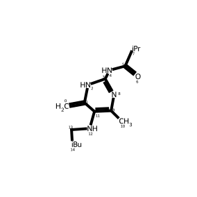 C=C1NC(NC(=O)C(C)C)=NC(C)=C1NCC(C)CC